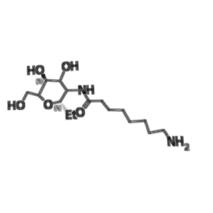 CC[C@@H]1OC(CO)[C@@H](O)C(O)C1NC(=O)CCCCCCCN